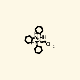 C=CC[Si](NC1CCCCC1)(NC1CCCCC1)NC1CCCCC1